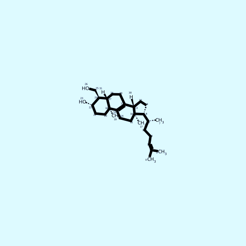 CC(C)=CCC[C@@H](C)[C@H]1CC[C@H]2C3=C(CC[C@]12C)[C@@]1(C)CC[C@H](O)[C@@H](CO)[C@@H]1CC3